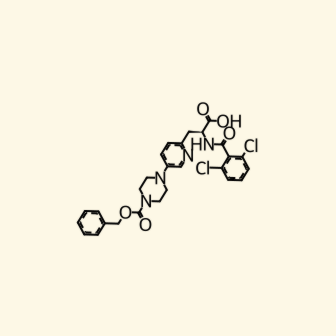 O=C(N[C@@H](Cc1ccc(N2CCN(C(=O)OCc3ccccc3)CC2)cn1)C(=O)O)c1c(Cl)cccc1Cl